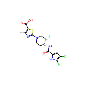 Cc1nc(N2CC[C@@H](NC(=O)c3cc(Cl)c(Cl)[nH]3)[C@@H](F)C2)sc1C(=O)O